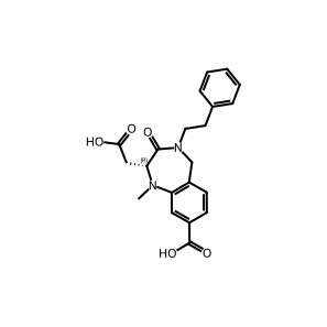 CN1c2cc(C(=O)O)ccc2CN(CCc2ccccc2)C(=O)[C@H]1CC(=O)O